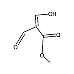 COC(=O)/C(C=O)=C\O